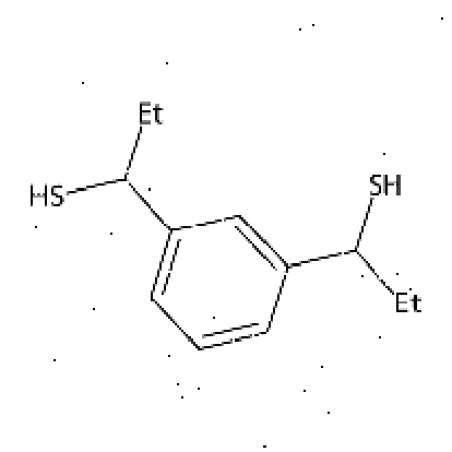 CCC(S)c1cccc(C(S)CC)c1